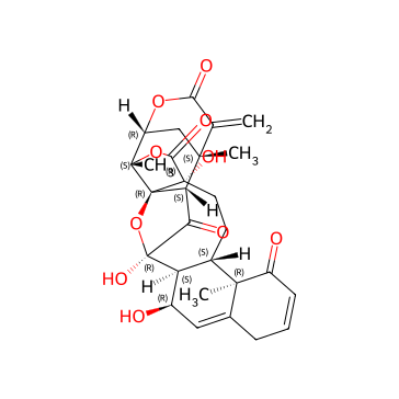 C=C1C(=O)O[C@@H]2C[C@@]1(C)[C@@H]1C(=O)[C@]3(O)O[C@]14[C@@]2(C)OC(=O)[C@@]4(O)CC[C@H]1[C@H]3[C@H](O)C=C2CC=CC(=O)[C@@]21C